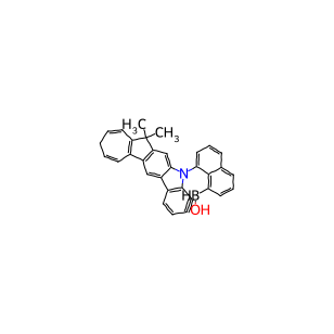 CC1(C)C2=C(C=CCC=C2)c2cc3c4ccc#cc4n(-c4cccc5cccc(BO)c45)c3cc21